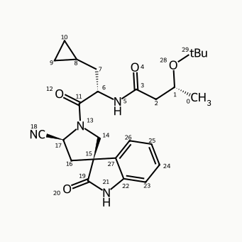 C[C@H](CC(=O)N[C@@H](CC1CC1)C(=O)N1C[C@]2(C[C@H]1C#N)C(=O)Nc1ccccc12)OC(C)(C)C